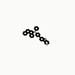 c1ccc(N(c2ccc(-c3ccc4c(c3)sc3ccncc34)cc2)c2cc3ccc4ccccc4c3c3ccccc23)cc1